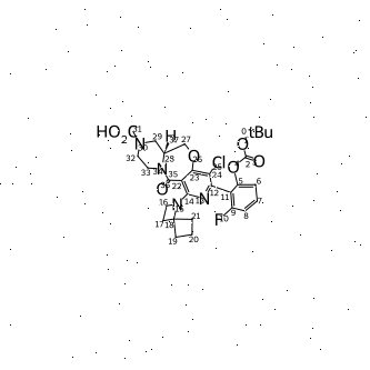 CC(C)(C)OC(=O)Oc1cccc(F)c1-c1nc(N2CCC23CCC3)c2c(c1Cl)OC[C@H]1CN(C(=O)O)CCN1C2=O